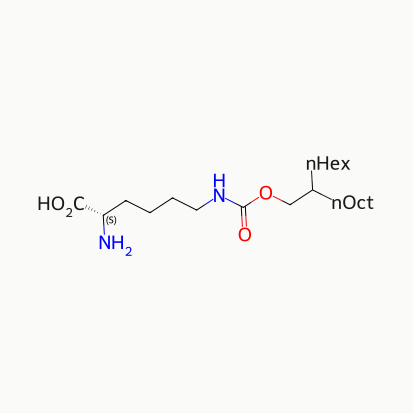 CCCCCCCCC(CCCCCC)COC(=O)NCCCC[C@H](N)C(=O)O